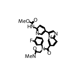 CNC(=O)CN(C(=O)c1ccc2ncc(-c3ccc(NC(=O)OC)nc3)n2c1)c1cccc(F)c1